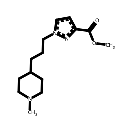 COC(=O)c1ccn(CCCC2CCN(C)CC2)n1